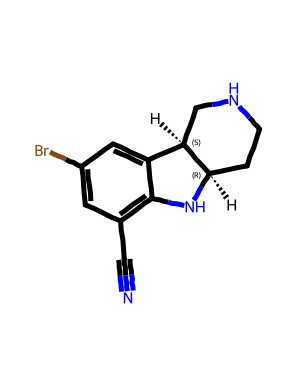 N#Cc1cc(Br)cc2c1N[C@@H]1CCNC[C@H]21